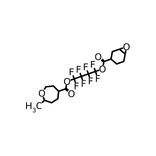 CC1CCC(C(=O)OC(F)(F)C(F)(F)C(F)(F)C(F)(F)OC(=O)C2CCC3OC3C2)CCO1